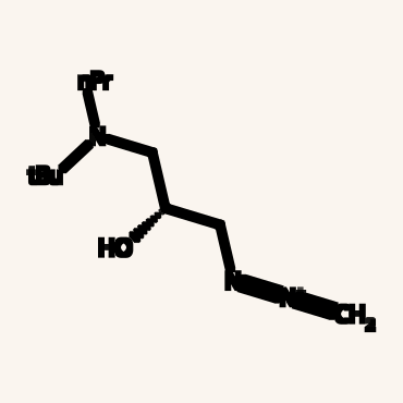 C=[N+]=NC[C@H](O)CN(CCC)C(C)(C)C